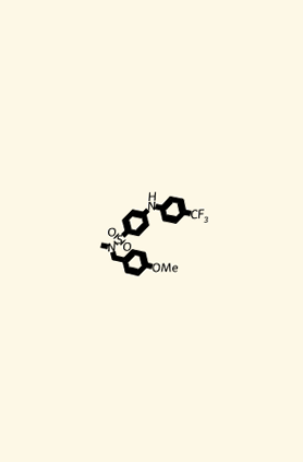 COc1ccc(CN(C)S(=O)(=O)c2ccc(Nc3ccc(C(F)(F)F)cc3)cc2)cc1